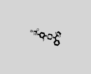 CCC(C)C(=O)Nc1ccc(N2CCN(C(c3ccccc3)c3ncco3)CC2)c(F)c1